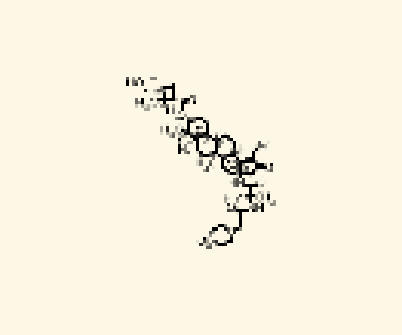 CC(C)C1=C2[C@H]3CC[C@@H]4[C@@]5(C)CC[C@H](OC(=O)[C@H]6C[C@@H](C(=O)O)C6(C)C)C(C)(C)[C@@H]5CC[C@@]4(C)[C@]3(C)CC[C@@]2(NC(=O)C(C)(C)NC(=O)CN2CCS(=O)(=O)CC2)CC1=O